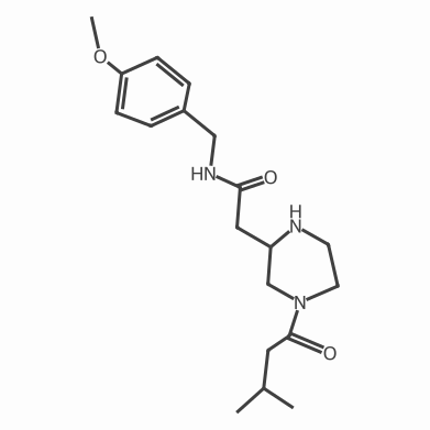 COc1ccc(CNC(=O)CC2CN(C(=O)CC(C)C)CCN2)cc1